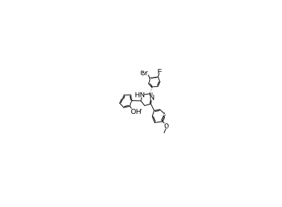 COc1ccc(C2=N[C@@H](c3ccc(F)c(Br)c3)NC(c3ccccc3O)C2)cc1